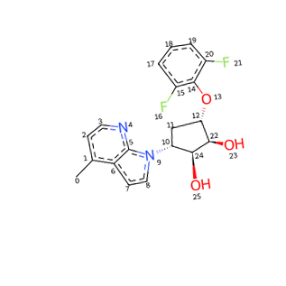 Cc1ccnc2c1ccn2[C@@H]1C[C@H](Oc2c(F)cccc2F)[C@@H](O)[C@H]1O